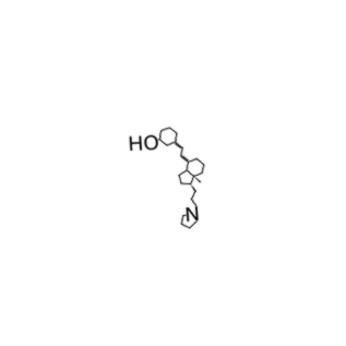 C[C@]12CCC/C(=C\C=C3\CCCC(O)C3)C1CC[C@@H]2CCCN1CCCC1